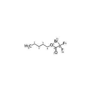 CCCCCOC(=O)C(F)(F)Br